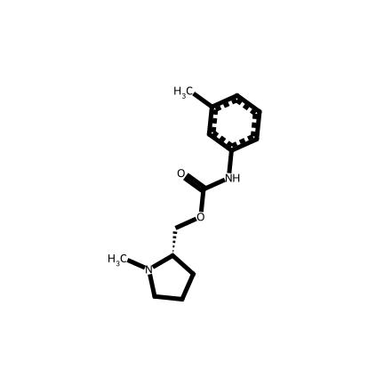 Cc1cccc(NC(=O)OC[C@@H]2CCCN2C)c1